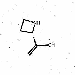 C=C(O)[C@@H]1CCN1